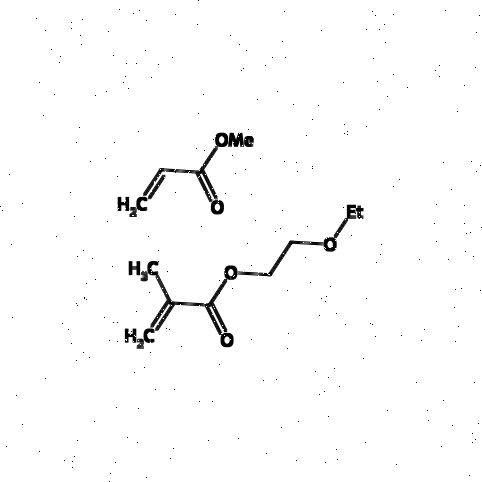 C=C(C)C(=O)OCCOCC.C=CC(=O)OC